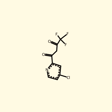 O=C(CC(=O)C(F)(F)F)c1cc(Cl)ccn1